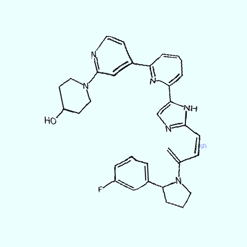 C=C(/C=C\c1ncc(-c2cccc(-c3ccnc(N4CCC(O)CC4)c3)n2)[nH]1)N1CCCC1c1cccc(F)c1